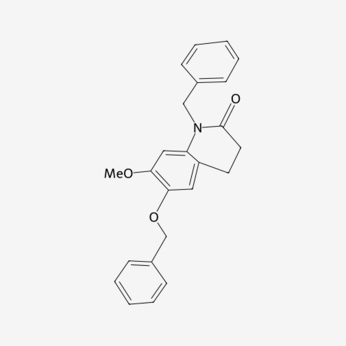 COc1cc2c(cc1OCc1ccccc1)CCC(=O)N2Cc1ccccc1